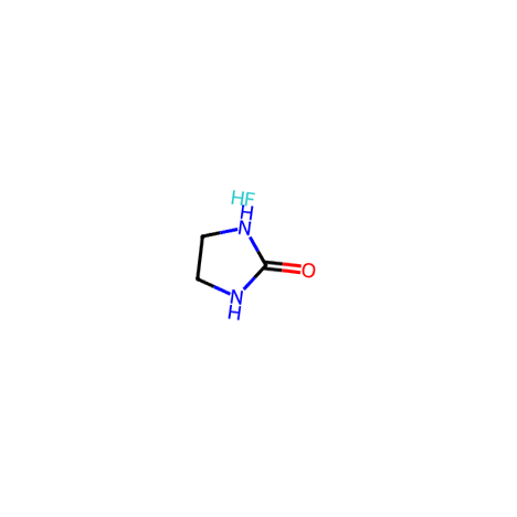 F.O=C1NCCN1